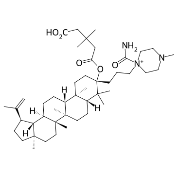 C=C(C)[C@@H]1CC[C@]2(C)CC[C@]3(C)[C@H](CC[C@@H]4[C@@]5(C)CC[C@](CCC[N+]6(C(N)=O)CCN(C)CC6)(OC(=O)CC(C)(C)CC(=O)O)C(C)(C)[C@@H]5CC[C@]43C)[C@@H]12